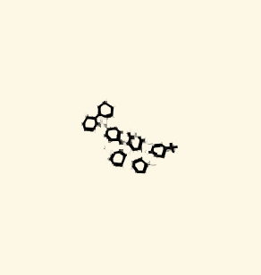 CC(C)(C)c1cc2c3c(c1)Oc1nc4c(cc1B3c1ccccc1O2)B1C2=C(CC(N3C5=CCCCC5C5CCC=CC53)C=C2Oc2ccccc21)O4